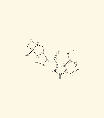 COc1cccc2[nH]nc(C(=O)N3CCC4C3CN3CC[C@@H]43)c12